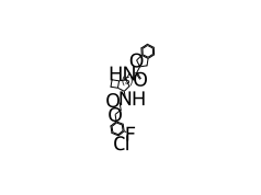 O=C(COc1ccc(Cl)c(F)c1)NC1C[C@H](NC(=O)C2Cc3ccccc3O2)C2CCC12